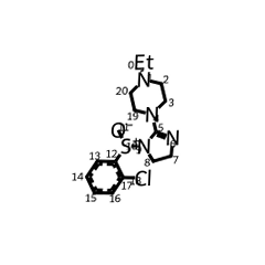 CCN1CCN(C2=NCCN2[S+]([O-])c2ccccc2Cl)CC1